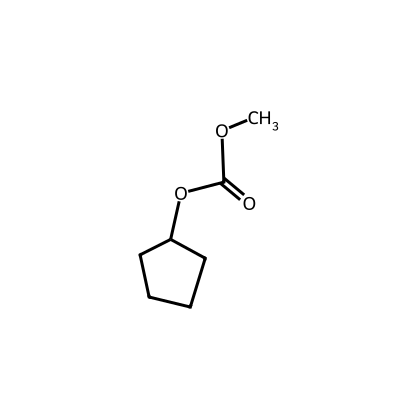 COC(=O)OC1CCCC1